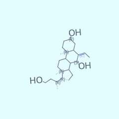 C/C=C1/C2C[C@H](O)CC[C@]2(C)C2CC[C@@]3(C)C(CC[C@@H]3[C@H](C)CCO)C2[C@@H]1O